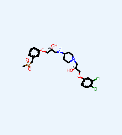 CS(=O)(=O)Cc1cccc(OC[C@@H](O)CNC2CCN(C[C@H](O)COc3ccc(Cl)c(Cl)c3)CC2)c1